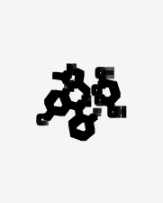 Cc1ncc2n1-c1ccc(Cl)cc1C(c1ccccc1F)=NC2.O=C(O)/C=C\C(=O)O